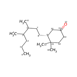 CCCC(C)C(C)CC[C@@H]1CC(=O)CCC1(C)C